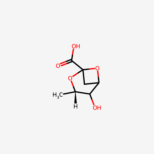 C[C@@H]1OC2(C(=O)O)CC(O2)C1O